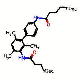 CCCCCCCCCCCCCC(=O)Nc1ccc(-c2c(C)[c]c(C)c(NC(=O)CCCCCCCCCCCC)c2C)cc1